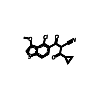 COc1csc2ccc(C(=O)C(C#N)C(=O)C3CC3)c(Cl)c12